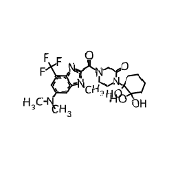 CN(C)c1cc(C(F)(F)F)c2nc(C(=O)N3CCN(C4(O)CCCCC4(O)O)C(=O)C3)n(C)c2c1